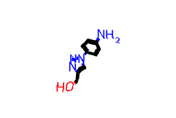 Nc1ccc(-n2cc(CO)nn2)cc1